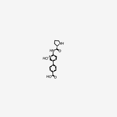 Cl.O=C(O)c1ccc(-c2ccc(NC(=O)[C@H]3CCCN3)nc2)cc1